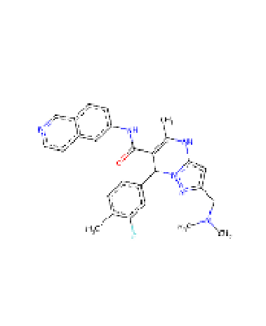 CC1=C(C(=O)Nc2ccc3cnccc3c2)C(c2ccc(C)c(F)c2)n2nc(CN(C)C)cc2N1